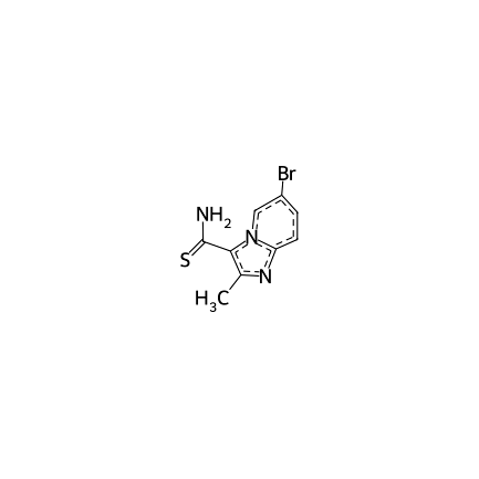 Cc1nc2ccc(Br)cn2c1C(N)=S